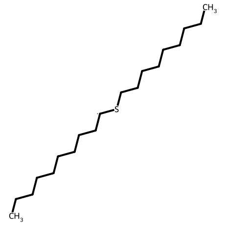 CCCCCCCCC[CH]SCCCCCCCCC